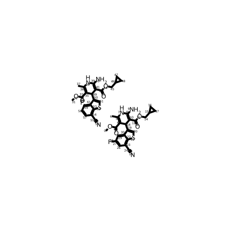 COC(=O)C1=C(C)NC(N)=C(C(=O)OCC2CC2)C1c1csc2c(C#N)cc(F)cc12.COC(=O)C1=C(C)NC(N)=C(C(=O)OCC2CC2)C1c1csc2c(C#N)ccc(F)c12